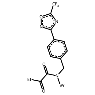 CCC(=O)C(=O)N(Cc1ccc(-c2noc(C(F)(F)F)n2)cc1)C(C)C